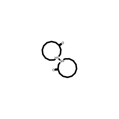 O=C1CCCCCCCCC[SH]([SH]2CCCCCCCCCCC(=O)C2)CC1